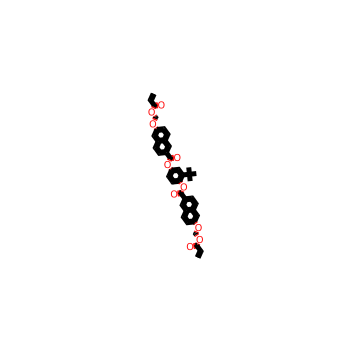 C=CC(=O)OCOc1ccc2cc(C(=O)Oc3ccc(OC(=O)c4ccc5cc(OCOC(=O)C=C)ccc5c4)c(C(C)(C)C)c3)ccc2c1